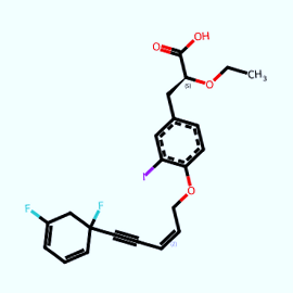 CCO[C@@H](Cc1ccc(OC/C=C\C#CC2(F)C=CC=C(F)C2)c(I)c1)C(=O)O